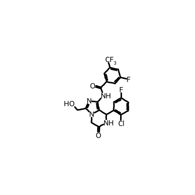 O=C1Cn2c(CO)nc(NC(=O)c3cc(F)cc(C(F)(F)F)c3)c2C(c2cc(F)ccc2Cl)N1